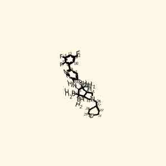 BC1(B)[C@H](Nc2ccc(-c3cc(F)cc(F)c3F)nn2)C(B)(B)[C@H]2CN(CC3CCOCC3)C[C@H]21